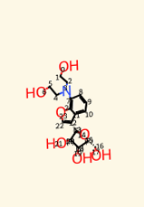 OCCN(CCO)c1cccc2c([C@@H]3O[C@H](CO)[C@@H](O)[C@H]3O)coc12